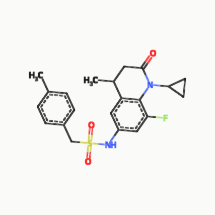 Cc1ccc(CS(=O)(=O)Nc2cc(F)c3c(c2)C(C)CC(=O)N3C2CC2)cc1